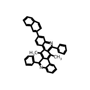 Cc1c2c(-c3ccccc3)nc3cc(-c4ccc5ccccc5c4)ccc3c2c(C)c2c(-c3ccccc3)nc3ccccc3c12